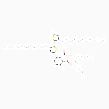 CCCCCCCCCCCCc1cc(C)sc1-c1sc(-c2ccc(C)c3c2C(=O)N(CC(CCCC)CCCCCC)C3=O)cc1CCCCCCCCCCCC